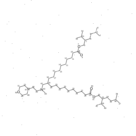 CC(C)CCC(COC(=O)CCCCCCCCCC(CCCCCCCCCC(=O)OCC(CCC(C)C)C(C)C)CN(C)CCN1CCOCC1)C(C)C